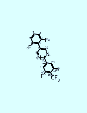 Fc1cccc(F)c1-c1cnc(-c2cc(F)c(C(F)(F)F)c(F)c2)nc1